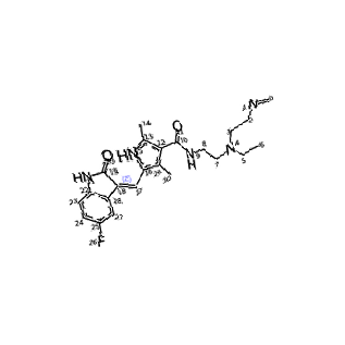 C=NCCN(CC)CCNC(=O)c1c(C)[nH]c(/C=C2\C(=O)Nc3ccc(F)cc32)c1C